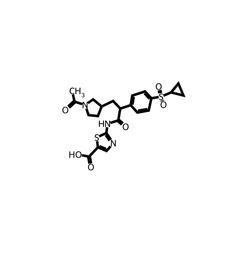 CC(=O)N1CCC(CC(C(=O)Nc2ncc(C(=O)O)s2)c2ccc(S(=O)(=O)C3CC3)cc2)C1